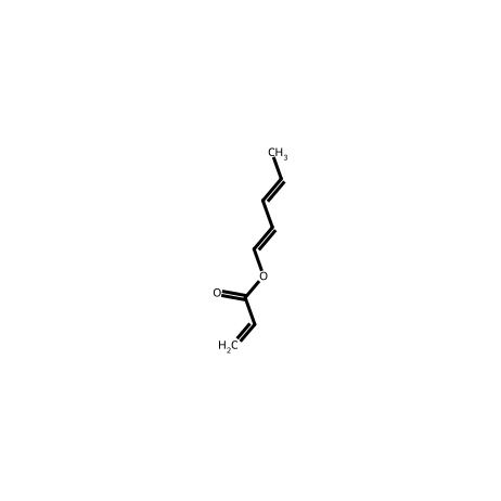 C=CC(=O)O/C=C/C=C/C